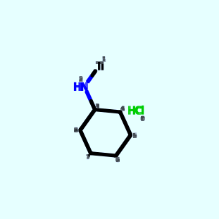 Cl.[Ti][NH]C1CCCCC1